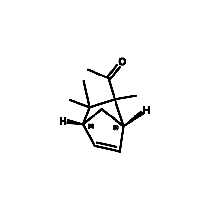 CC(=O)C1(C)[C@@H]2C=C[C@@H](C2)C1(C)C